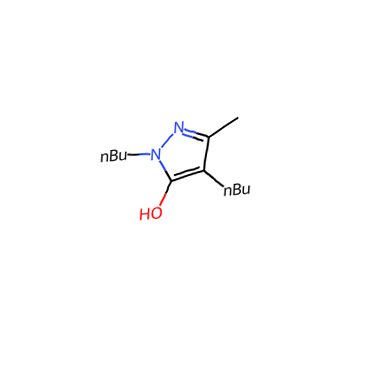 CCCCc1c(C)nn(CCCC)c1O